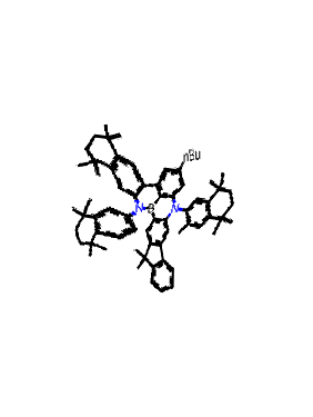 CCCCc1cc2c3c(c1)N(c1cc4c(cc1C)C(C)(C)CCC4(C)C)c1cc4c(cc1B3N(c1ccc3c(c1)C(C)(C)CCC3(C)C)c1cc3c(cc1-2)C(C)(C)CCC3(C)C)C(C)(C)c1ccccc1-4